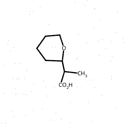 CC(C(=O)O)C1CCCCO1